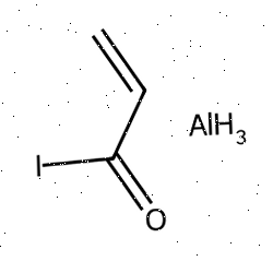 C=CC(=O)I.[AlH3]